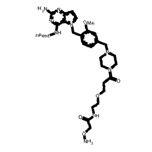 CCCCCNc1nc(N)nc2ccn(Cc3ccc(CN4CCN(C(=O)CCOCCNC(=O)CON)CC4)cc3OC)c12